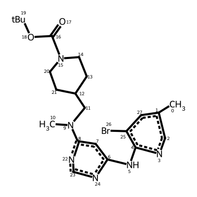 Cc1cnc(Nc2cc(N(C)CC3CCN(C(=O)OC(C)(C)C)CC3)ncn2)c(Br)c1